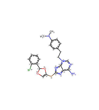 CN(C)c1ccc(CCn2cnc(N)c3nc(SC4=COC(c5ccccc5Br)O4)nc2-3)cc1